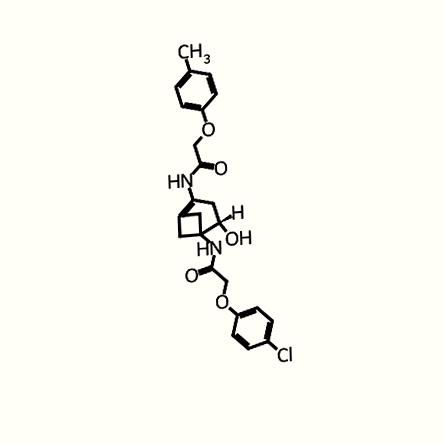 Cc1ccc(OCC(=O)NC2=C3CC(NC(=O)COc4ccc(Cl)cc4)(C3)[C@@H](O)C2)cc1